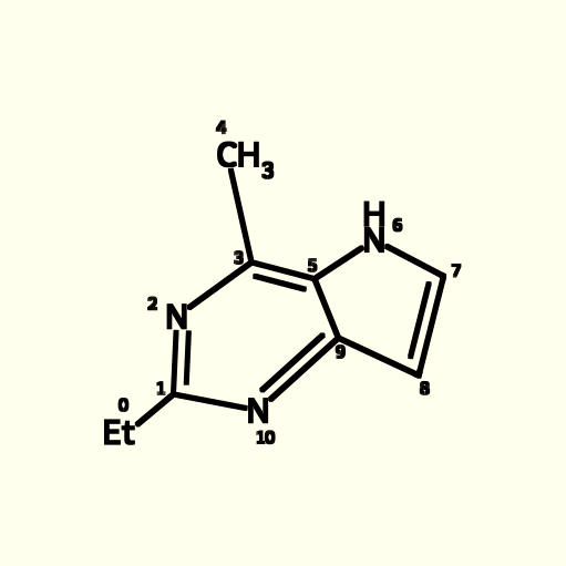 CCc1nc(C)c2[nH]ccc2n1